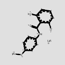 Cc1cccc(Cl)c1C(=O)Pc1ccc(OC(C)C)cc1.[LiH]